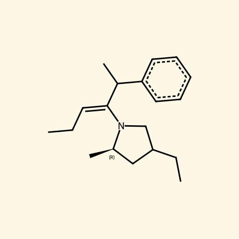 CCC=C(C(C)c1ccccc1)N1CC(CC)C[C@H]1C